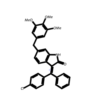 COc1cc(Cc2ccc3c(c2)NC(=O)/C3=C(\c2ccccc2)c2ccc(Cl)cc2)cc(OC)c1OC